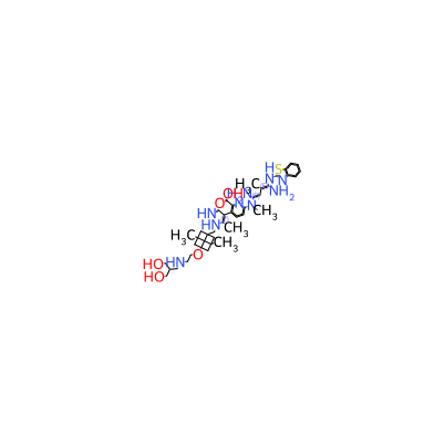 C/C(NCC12CC3(C)CC4(OCCNCC(CO)CO)CC(C)(C1)C324)=C(/C=N)c1ccc(N(C)/C(N)=C/C(C)=C(\N)Nc2nc3ccccc3s2)nc1C(=O)O